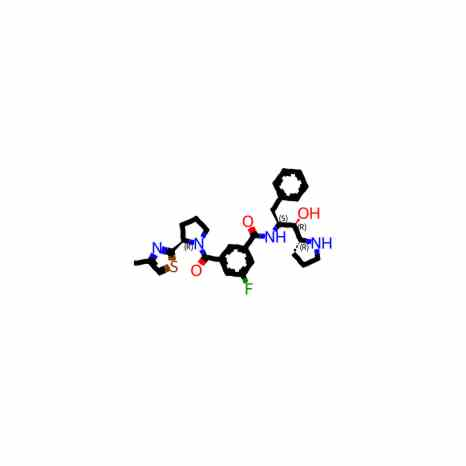 Cc1csc([C@H]2CCCN2C(=O)c2cc(F)cc(C(=O)N[C@@H](Cc3ccccc3)[C@H](O)[C@H]3CCCN3)c2)n1